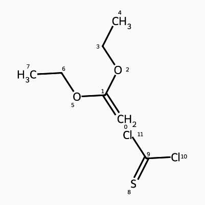 C=C(OCC)OCC.S=C(Cl)Cl